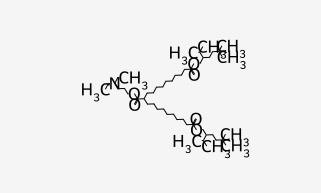 CCN(CC)CCCOC(=O)C(CCCCCCCCCC(=O)OCC(CCC(C)C)C(C)C)CCCCCCCCCC(=O)OCC(CCC(C)C)C(C)C